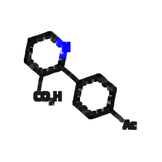 CC(=O)c1ccc(-c2ncccc2C(=O)O)cc1